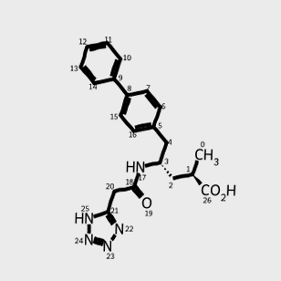 C[C@H](C[C@@H](Cc1ccc(-c2ccccc2)cc1)NC(=O)Cc1nnn[nH]1)C(=O)O